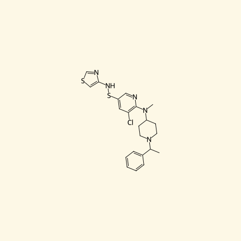 CC(c1ccccc1)N1CCC(N(C)c2ncc(SNc3cscn3)cc2Cl)CC1